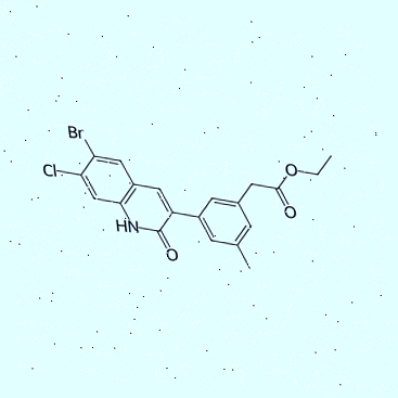 CCOC(=O)Cc1cc(C)cc(-c2cc3cc(Br)c(Cl)cc3[nH]c2=O)c1